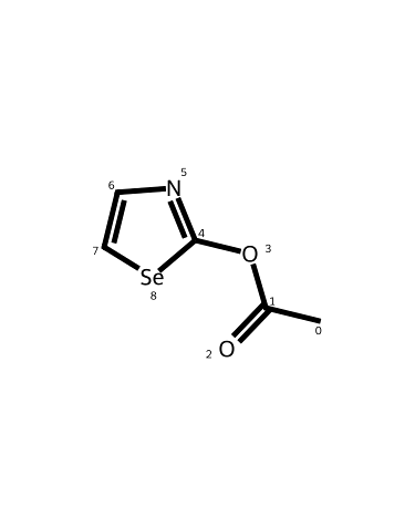 CC(=O)Oc1ncc[se]1